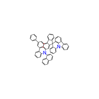 c1ccc(-c2cccc(-c3ccccc3N(c3ccc4c(c3)C3(c5ccccc5-4)c4ccccc4-n4c5ccccc5c5cccc3c54)c3cccc4ccccc34)c2)cc1